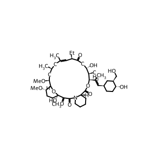 CC[C@@H]1/C=C(\C)C[C@H](C)C[C@H](OC)[C@H]2O[C@@](O)(C(=O)C(=O)N3CCCC[C@H]3C(=O)O[C@H](/C(C)=C/[C@@H]3CC[C@@H](O)[C@H](CO)C3)[C@H](C)[C@@H](O)CC1=O)[C@H](C)C[C@@H]2OC